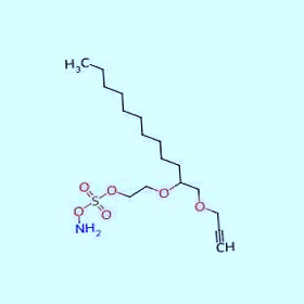 C#CCOCC(CCCCCCCCCC)OCCOS(=O)(=O)ON